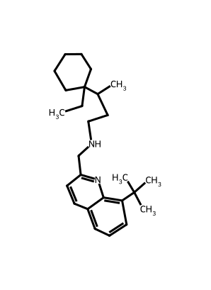 CCC1(C(C)CCNCc2ccc3cccc(C(C)(C)C)c3n2)CCCCC1